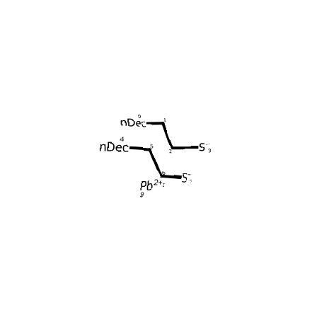 CCCCCCCCCCCC[S-].CCCCCCCCCCCC[S-].[Pb+2]